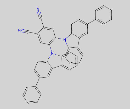 N#Cc1cc(-n2c3ccccc3c3cc(-c4ccccc4)ccc32)c(-n2c3ccccc3c3cc(-c4ccccc4)ccc32)cc1C#N